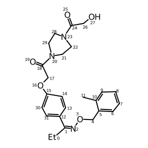 CCC(=NOCc1ccccc1C)c1ccc(OCC(=O)N2CCN(C(=O)CO)CC2)cc1